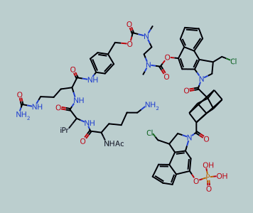 CC(=O)NC(CCCCN)C(=O)NC(C(=O)NC(CCCNC(N)=O)C(=O)Nc1ccc(COC(=O)N(C)CCN(C)C(=O)Oc2cc3c(c4ccccc24)C(CCl)CN3C(=O)C23C4C5C2C2C3C4C52C(=O)N2CC(CCl)c3c2cc(OP(=O)(O)O)c2ccccc32)cc1)C(C)C